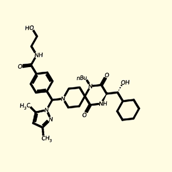 CCCCN1C(=O)[C@@H]([C@H](O)C2CCCCC2)NC(=O)C12CCN(C(c1ccc(C(=O)NCCO)cc1)n1nc(C)cc1C)CC2